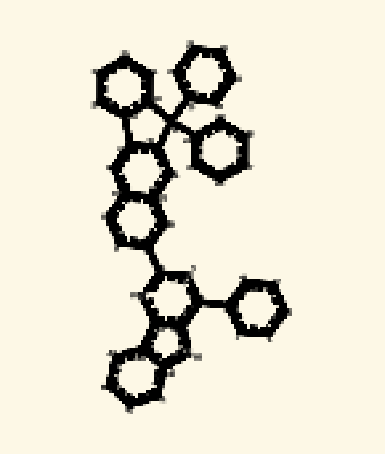 c1ccc(-c2nc(-c3ccc4cc5c(cc4c3)C(c3ccccc3)(c3ccccc3)c3ccccc3-5)nc3c2sc2ccccc23)cc1